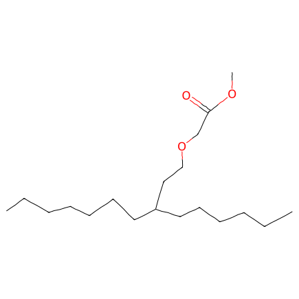 CCCCCCCC(CCCCCC)CCOCC(=O)OC